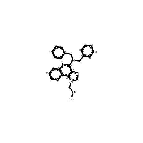 CCOCn1cnc2c(N(Cc3ccccc3)Cc3ccccc3)nc3ccccc3c21